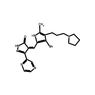 Cc1[nH]c(C=C2C(=O)NN=C2c2cnccn2)c(C(C)C)c1CCCN1CCCC1